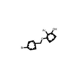 CC(=O)c1c(O)cccc1OCc1ccc(Br)cc1